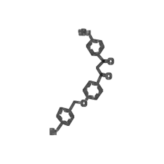 CC(C)(C)c1ccc(C(=O)CC(=O)c2ccc(OCc3ccc(Br)cc3)cc2)cc1